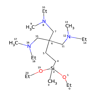 CCO[Si](C)(CCC(CN(C)CC)(CN(C)CC)CN(C)CC)OCC